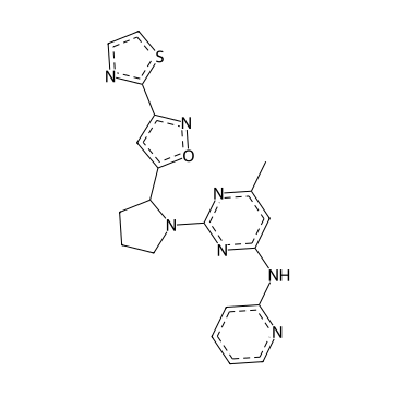 Cc1cc(Nc2ccccn2)nc(N2CCCC2c2cc(-c3nccs3)no2)n1